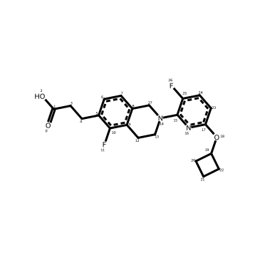 O=C(O)CCc1ccc2c(c1F)CCN(c1nc(OC3CCC3)ccc1F)C2